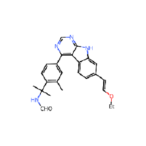 CCO/C=C/c1ccc2c(c1)[nH]c1ncnc(-c3ccc(C(C)(C)NC=O)c(C)c3)c12